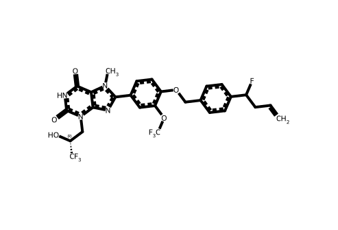 C=CCC(F)c1ccc(COc2ccc(-c3nc4c(c(=O)[nH]c(=O)n4C[C@@H](O)C(F)(F)F)n3C)cc2OC(F)(F)F)cc1